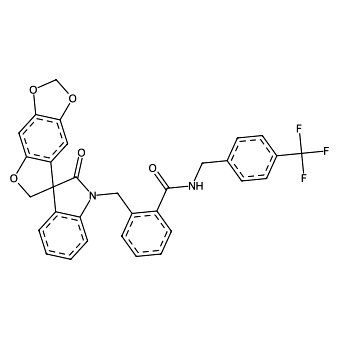 O=C(NCc1ccc(C(F)(F)F)cc1)c1ccccc1CN1C(=O)C2(COc3cc4c(cc32)OCO4)c2ccccc21